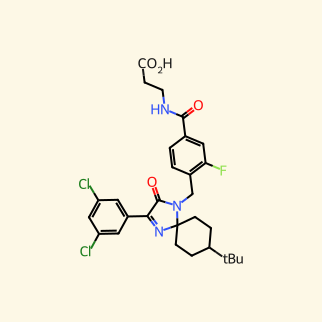 CC(C)(C)C1CCC2(CC1)N=C(c1cc(Cl)cc(Cl)c1)C(=O)N2Cc1ccc(C(=O)NCCC(=O)O)cc1F